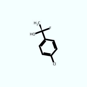 C[C@@](O)(F)c1ccc(Cl)cc1